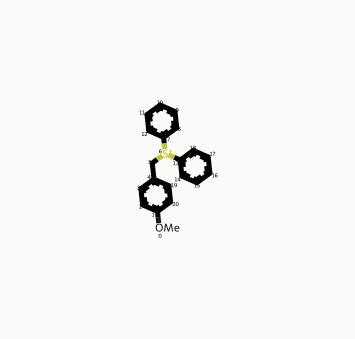 COc1ccc(C[S+](c2ccccc2)c2ccccc2)cc1